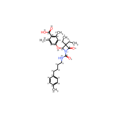 CCC1(CC)C(=O)N(C(=O)NCCCCc2ccc(C)cc2)[C@H]1Oc1cc(C)c(C(=O)O)c(C)c1